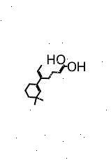 CC=C(CCC=C(O)O)C1=CC(C)(C)CCC1